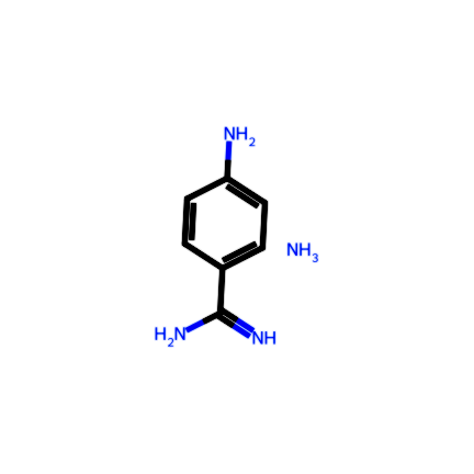 N.N=C(N)c1ccc(N)cc1